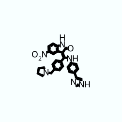 O=C1Nc2ccc([N+](=O)[O-])cc2C1=C(Nc1ccc(-c2c[nH]cn2)cc1)c1ccc(CN2CCCC2)cc1